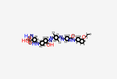 CCCOc1cccc2cc(NC(=O)c3ccc(N=Nc4cc(C)c(N=Nc5ccc6cc(Nc7ccc(N)c(S(=O)(=O)O)c7)ccc6c5O)cc4C)cc3)ccc12